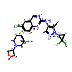 Cc1c(Nc2ncc3cc(Cl)c([C@H]4CCN(C5COC5)C[C@@H]4F)cc3n2)cnn1[C@H]1CC1(F)F